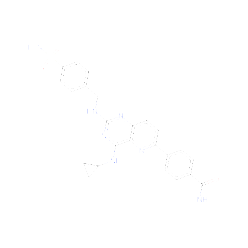 NC(=O)c1ccc(-c2ccc3nc(NCc4ccc(S(N)(=O)=O)cc4)nc(NC4CC4)c3n2)cc1